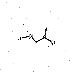 CCN(CC)CBF